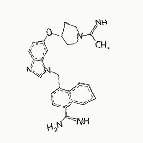 CC(=N)N1CCC(Oc2ccc3ncn(Cc4ccc(C(=N)N)c5ccccc45)c3c2)CC1